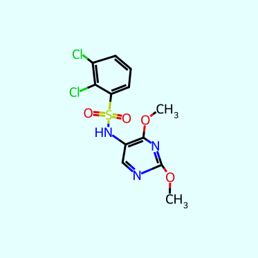 COc1ncc(NS(=O)(=O)c2cccc(Cl)c2Cl)c(OC)n1